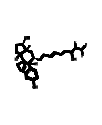 C=CC12CCc3cc(O)ccc3[C@H]1[C@@H](CCC=CCCC(O)C(F)C(F)F)C[C@]1(C)[C@@H](O)CC[C@@H]21